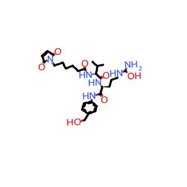 CC(C)[C@H](NC(=O)CCCCCN1C(=O)C=CC1=O)C(=O)N[C@@H](CCCNC(N)O)C(=O)Nc1ccc(CO)cc1